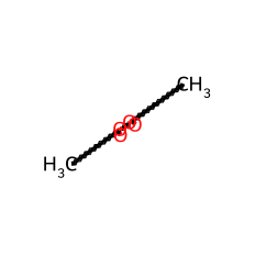 CCCCCCCCCCCCCCCCCCCCCC(=O)OCCCOC(=O)CCCCCCCCCCCCCCCCCCC